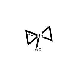 C[C](=O)[Rh]12([C](C)=O)([CH2][CH2]1)[CH2][CH2]2